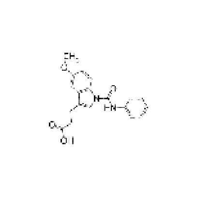 COc1ccc2c(c1)c(CCC(=O)O)cn2C(=O)Nc1ccccc1